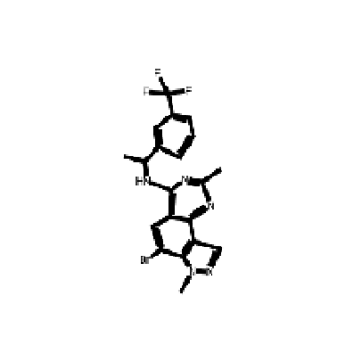 Cc1nc(NC(C)c2cccc(C(F)(F)F)c2)c2cc(Br)c3c(cnn3C)c2n1